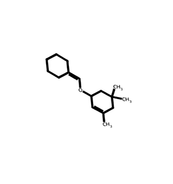 CC1=CC(OC=C2CCCCC2)CC(C)(C)C1